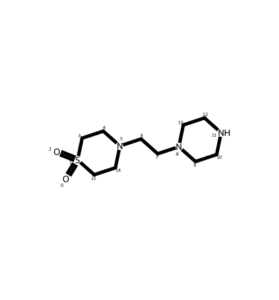 O=S1(=O)CCN(CCN2CCNCC2)CC1